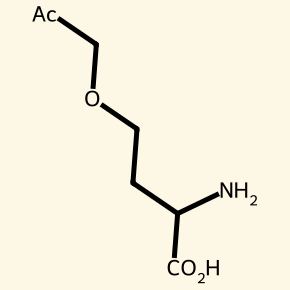 CC(=O)COCCC(N)C(=O)O